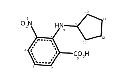 O=C(O)c1cccc([N+](=O)[O-])c1NC1CCCC1